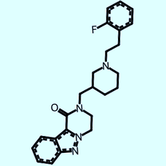 O=C1c2c3ccccc3nn2CCN1CC1CCCN(CCc2ccccc2F)C1